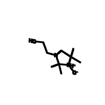 CC1(C)CN(CCO)C(C)(C)[NH+]1[O-]